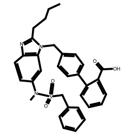 CCCCc1nc2ccc(N(C)S(=O)(=O)Cc3ccccc3)cc2n1Cc1ccc(-c2ccccc2C(=O)O)cc1